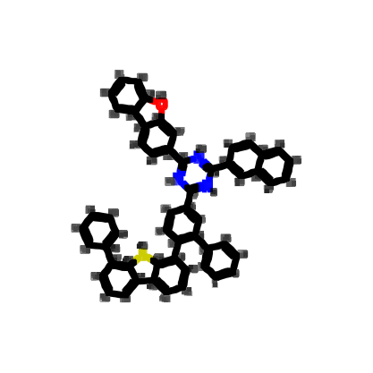 c1ccc(-c2cc(-c3nc(-c4ccc5ccccc5c4)nc(-c4ccc5c(c4)oc4ccccc45)n3)ccc2-c2cccc3c2sc2c(-c4ccccc4)cccc23)cc1